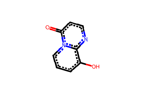 O=c1ccnc2c(O)cccn12